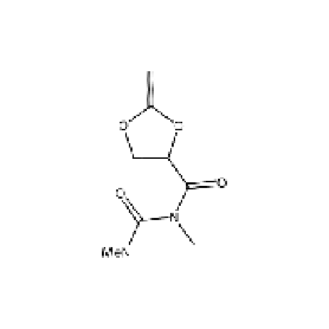 C=C1OCC(C(=O)N(C)C(=O)NC)O1